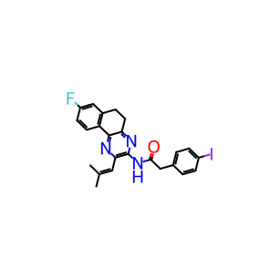 CC(C)=Cc1nc2c(nc1NC(=O)Cc1ccc(I)cc1)CCc1cc(F)ccc1-2